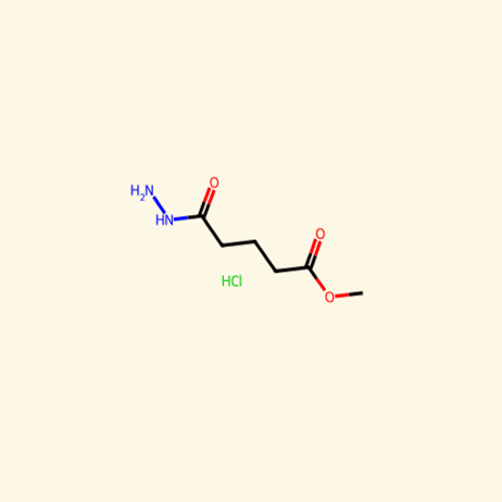 COC(=O)CCCC(=O)NN.Cl